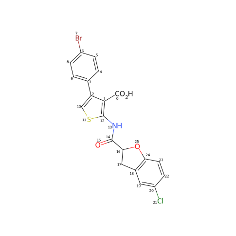 O=C(O)c1c(-c2ccc(Br)cc2)csc1NC(=O)C1Cc2cc(Cl)ccc2O1